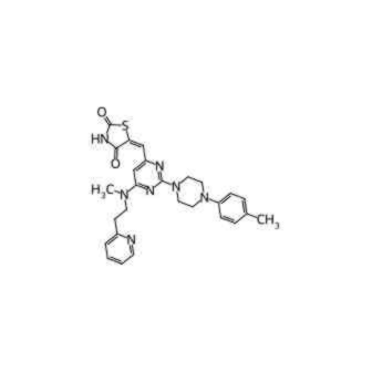 Cc1ccc(N2CCN(c3nc(/C=C4/SC(=O)NC4=O)cc(N(C)CCc4ccccn4)n3)CC2)cc1